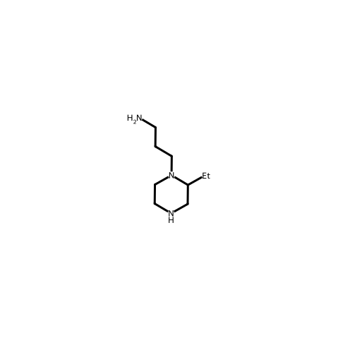 CCC1CNCCN1CCCN